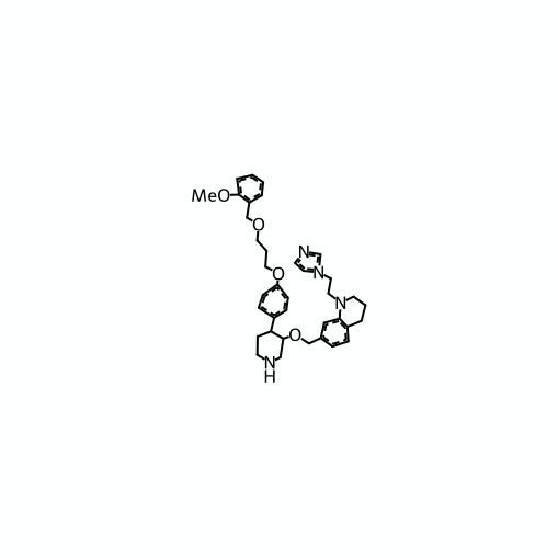 COc1ccccc1COCCCOc1ccc(C2CCNCC2OCc2ccc3c(c2)N(CCn2ccnc2)CCC3)cc1